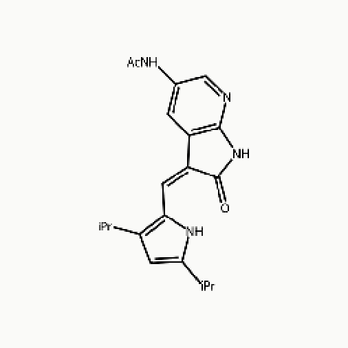 CC(=O)Nc1cnc2c(c1)C(=Cc1[nH]c(C(C)C)cc1C(C)C)C(=O)N2